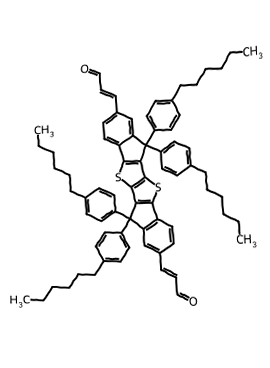 CCCCCCc1ccc(C2(c3ccc(CCCCCC)cc3)c3cc(/C=C/C=O)ccc3-c3sc4c5c(sc4c32)-c2ccc(/C=C/C=O)cc2C5(c2ccc(CCCCCC)cc2)c2ccc(CCCCCC)cc2)cc1